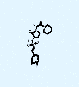 C[C@H](C(=O)N1CCCCC1)N1CC[C@@H](NS(=O)(=O)/C=C/c2ccc(Cl)cc2)C1=O